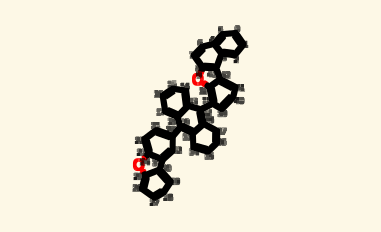 c1ccc2c(c1)ccc1oc3c(-c4c5ccccc5c(-c5ccc6oc7ccccc7c6c5)c5ccccc45)cccc3c12